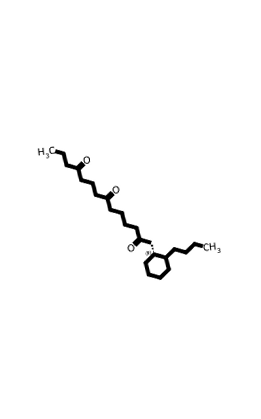 CCCCC1CCCC[C@@H]1CC(=O)CCCCC(=O)CCCC(=O)CCC